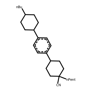 CCCCCC1(C#N)CCC(c2ccc(C3CCC(CCCC)CC3)cc2)CC1